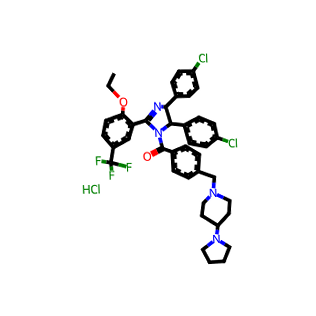 CCOc1ccc(C(F)(F)F)cc1C1=NC(c2ccc(Cl)cc2)C(c2ccc(Cl)cc2)N1C(=O)c1ccc(CN2CCC(N3CCCC3)CC2)cc1.Cl